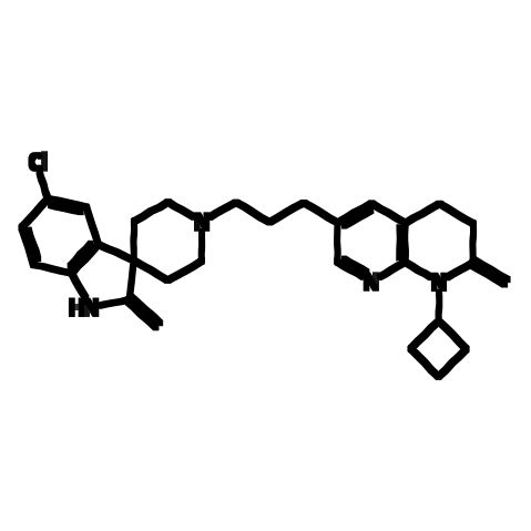 C=C1CCc2cc(CCCN3CCC4(CC3)C(=C)Nc3ccc(Cl)cc34)cnc2N1C1CCC1